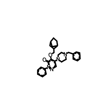 O=c1c(OCC2CC3CCC2C3)c(N2CCN(Cc3ccccc3)CC2)cnn1-c1ccccc1